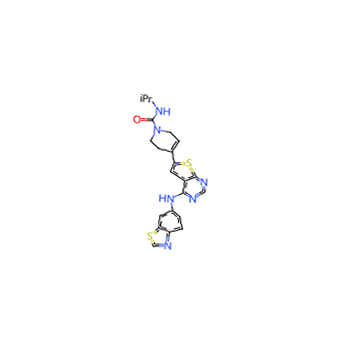 CC(C)NC(=O)N1CC=C(c2cc3c(Nc4ccc5ncsc5c4)ncnc3s2)CC1